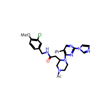 COc1ccc(CNC(=O)CC2CN(C(C)=O)CCN2c2nc(-n3ccnc3)ncc2C(C)C)cc1Cl